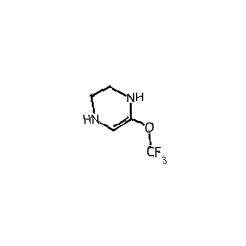 FC(F)(F)OC1=CNCCN1